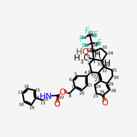 C[C@]12C[C@H](c3ccc(COC(=O)NCc4ccccc4)cc3)C3=C4CCC(=O)C=C4CC[C@H]3[C@@H]1CC[C@@]2(O)C(F)(F)C(F)(F)F